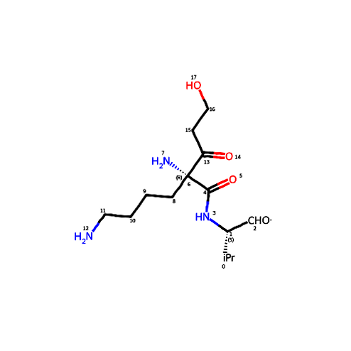 CC(C)[C@@H]([C]=O)NC(=O)[C@@](N)(CCCCN)C(=O)CCO